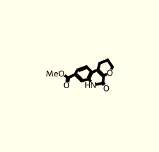 COC(=O)c1ccc2c3c(c(=O)[nH]c2c1)OCCC3